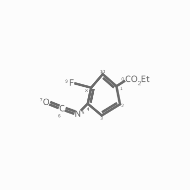 CCOC(=O)c1ccc(N=C=O)c(F)c1